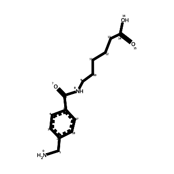 NCc1ccc(C(=O)NCCCCCC(=O)O)cc1